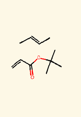 C/C=C/C.C=CC(=O)OC(C)(C)C